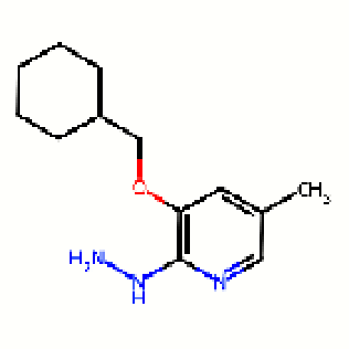 Cc1cnc(NN)c(OCC2CCCCC2)c1